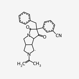 C=C(C)N1[CH]C2C(C1)CN1C(=O)C(Cc3ccccc3)(c3cccc(C#N)c3)C(=O)C21